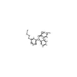 CCCCc1cc(Oc2ccccc2/C(=C/OC)C(=O)O)ncn1